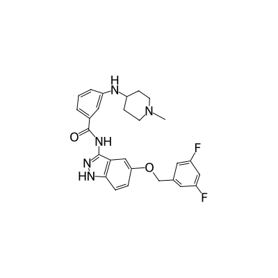 CN1CCC(Nc2cccc(C(=O)Nc3n[nH]c4ccc(OCc5cc(F)cc(F)c5)cc34)c2)CC1